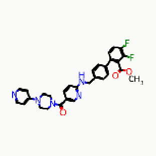 COC(=O)c1c(-c2ccc(CNc3ccc(C(=O)N4CCN(c5ccncc5)CC4)cn3)cc2)ccc(F)c1F